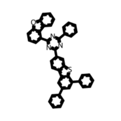 c1ccc(-c2cc(-c3ccccc3)c3sc4cc(-c5nc(-c6ccccc6)nc(-c6cccc7oc8ccccc8c67)n5)ccc4c3c2)cc1